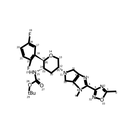 Cc1nc(-c2nc3c(n2C)CN([C@H]2CO[C@H](c4cc(F)ccc4F)[C@@H](NC(=O)OC(C)(C)C)C2)C3)no1